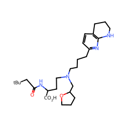 CC(C)(C)CC(=O)NC(CCN(CCCCc1ccc2c(n1)NCCC2)CC1CCCO1)C(=O)O